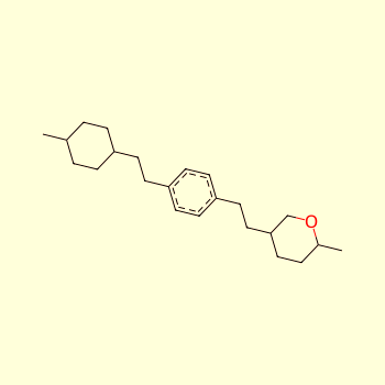 CC1CCC(CCc2ccc(CCC3CCC(C)OC3)cc2)CC1